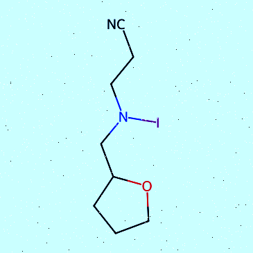 N#CCCN(I)CC1CCCO1